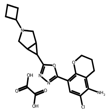 Nc1c(Cl)cc(-c2nnc(C3C4CN(C5CCC5)CC43)o2)c2c1CCCO2.O=C(O)C(=O)O